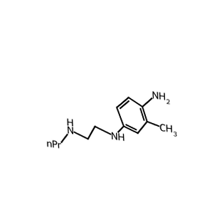 CCCNCCNc1ccc(N)c(C)c1